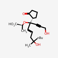 CCCCC(C)(O)C/C=C/C(C#CCO)(O[C@@H](C)C(=O)O)[C@H]1CCCC1=O